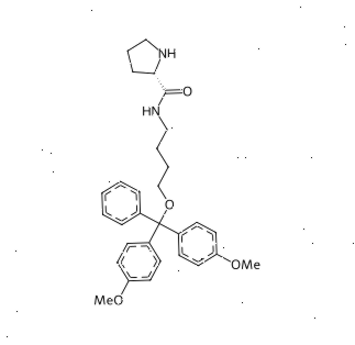 COc1ccc(C(OCCCCNC(=O)[C@@H]2CCCN2)(c2ccccc2)c2ccc(OC)cc2)cc1